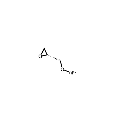 [CH2]CCOC[C@H]1CO1